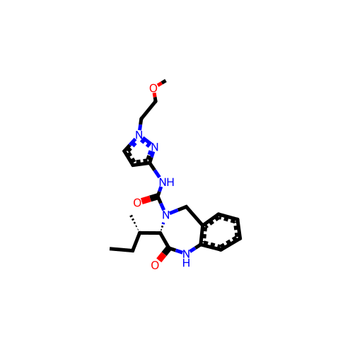 CC[C@H](C)[C@H]1C(=O)Nc2ccccc2CN1C(=O)Nc1ccn(CCOC)n1